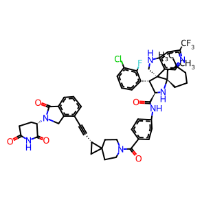 CC1(C)CCC[C@@]2(C1)N[C@@H](C(=O)Nc1ccc(C(=O)N3CCC4(CC3)C[C@@H]4C#Cc3cccc4c3CN([C@H]3CCC(=O)NC3=O)C4=O)cc1)[C@H](c1cccc(Cl)c1F)[C@]21CNc2cc(C(F)(F)F)ncc21